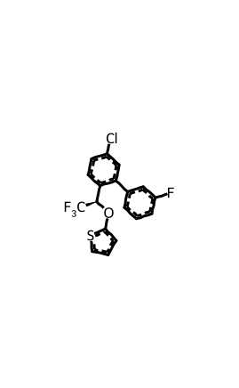 Fc1cccc(-c2cc(Cl)ccc2[C@@H](Oc2cccs2)C(F)(F)F)c1